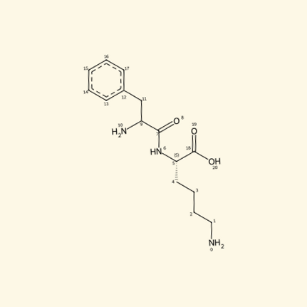 NCCCC[C@H](NC(=O)C(N)Cc1ccccc1)C(=O)O